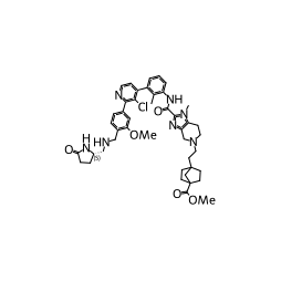 COC(=O)C12CCC(CCN3CCc4c(nc(C(=O)Nc5cccc(-c6ccnc(-c7ccc(CNC[C@@H]8CCC(=O)N8)c(OC)c7)c6Cl)c5C)n4C)C3)(CC1)C2